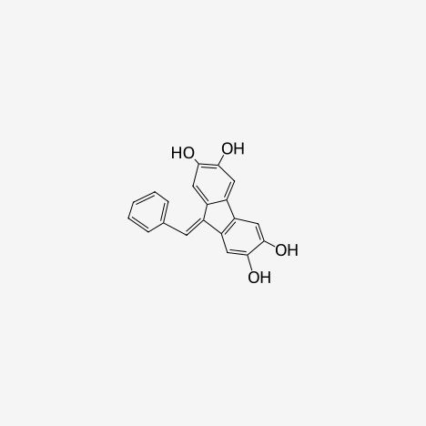 Oc1cc2c(cc1O)-c1cc(O)c(O)cc1C2=Cc1ccccc1